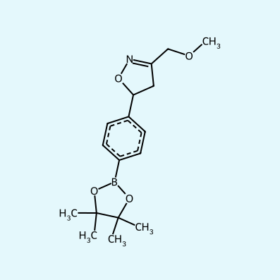 COCC1=NOC(c2ccc(B3OC(C)(C)C(C)(C)O3)cc2)C1